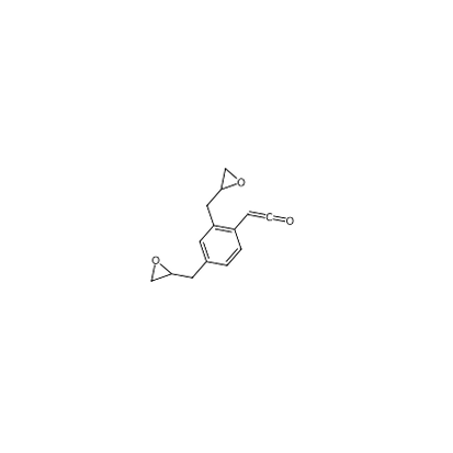 O=C=Cc1ccc(CC2CO2)cc1CC1CO1